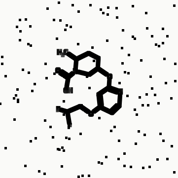 CC1CCC(Oc2cc(OCC(F)F)ccn2)CN1C(=O)O